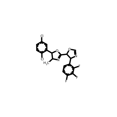 CC1N=C(C2O[C]=NC2c2ccc(F)c(F)c2F)OC1c1cc(Cl)ccc1Cl